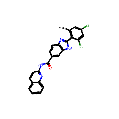 COc1cc(Cl)cc(Cl)c1-c1nc2ccc(C(=O)Nc3ccc4ccccc4n3)cc2[nH]1